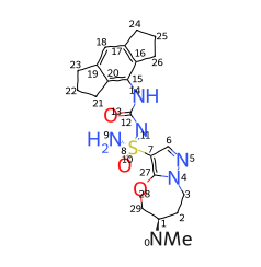 CN[C@@H]1CCn2ncc([S@@](N)(=O)=NC(=O)Nc3c4c(cc5c3CCC5)CCC4)c2OC1